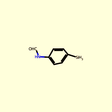 O=CNc1ccc([SiH3])cc1